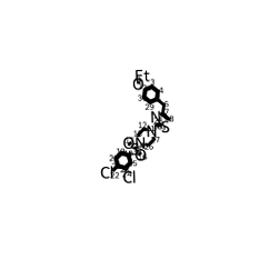 CCOc1ccc(Cc2csc(N3CCN(S(=O)(=O)c4ccc(Cl)c(Cl)c4)CC3)n2)cc1